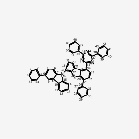 c1ccc(-c2ccc3c(c2)c2ccccc2n3-c2cccc3c2sc2c(-c4ccccc4)ccc(-c4nc(-c5ccccc5)nc(-c5ccccc5)n4)c23)cc1